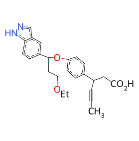 CC#CC(CC(=O)O)c1ccc(OC(CCOCC)c2ccc3[nH]ncc3c2)cc1